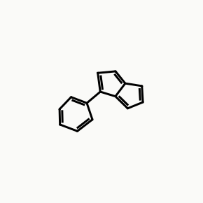 C1=CC2=CC=C(c3ccccc3)C2=C1